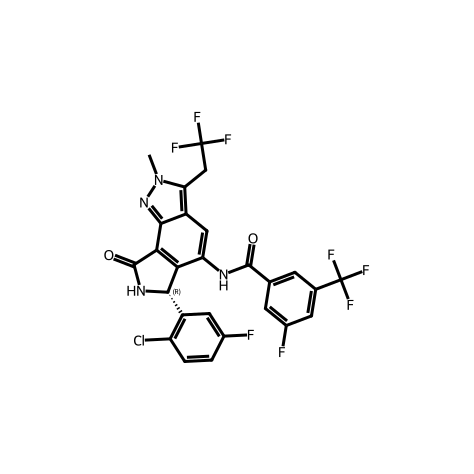 Cn1nc2c3c(c(NC(=O)c4cc(F)cc(C(F)(F)F)c4)cc2c1CC(F)(F)F)[C@H](c1cc(F)ccc1Cl)NC3=O